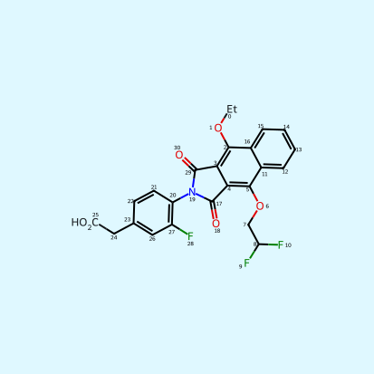 CCOc1c2c(c(OCC(F)F)c3ccccc13)C(=O)N(c1ccc(CC(=O)O)cc1F)C2=O